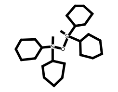 C[Si](O[Si](C)(C1CCCCC1)C1CCCCC1)(C1CCCCC1)C1CCCCC1